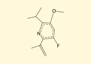 C=C(C)c1nc(C(C)C)c(OC)cc1F